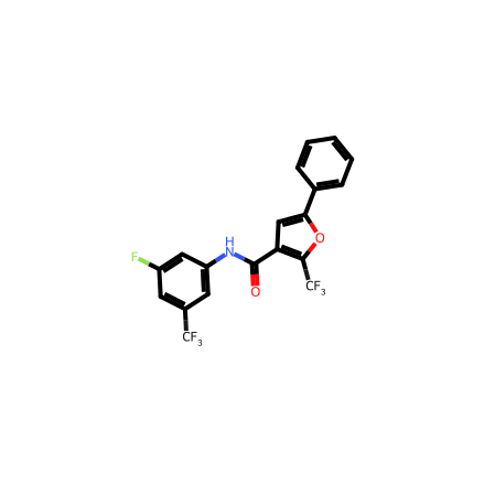 O=C(Nc1cc(F)cc(C(F)(F)F)c1)c1cc(-c2ccccc2)oc1C(F)(F)F